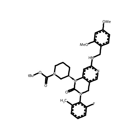 COc1ccc(CNc2cc3c(cn2)CN(c2c(C)cccc2F)C(=O)N3[C@@H]2CCCN(C(=O)OC(C)(C)C)C2)c(OC)c1